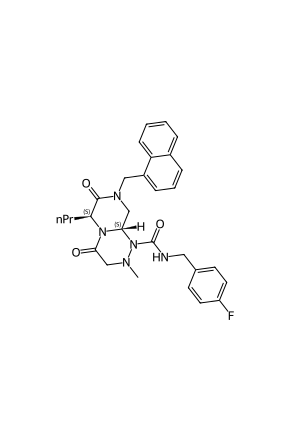 CCC[C@H]1C(=O)N(Cc2cccc3ccccc23)C[C@H]2N1C(=O)CN(C)N2C(=O)NCc1ccc(F)cc1